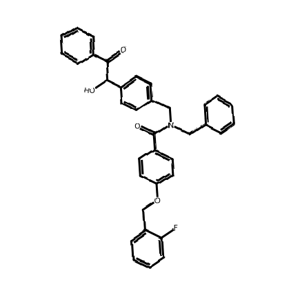 O=C(c1ccccc1)C(O)c1ccc(CN(Cc2ccccc2)C(=O)c2ccc(OCc3ccccc3F)cc2)cc1